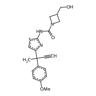 C#CC(C)(c1ccc(OC)cc1)c1csc(NC(=O)N2CC(CO)C2)n1